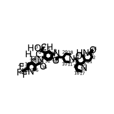 CC(C)(O)c1cc2nc(C3CCN(Cc4cccnc4C4CCC(=O)NC4=O)CC3)oc2cc1NC(=O)c1ccc(C(F)(F)F)nc1